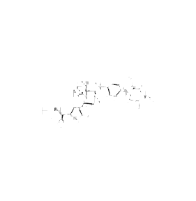 CC1CN(c2ccc(Nc3ncc(-c4csc(C(N)=O)c4)n4ncnc34)cc2)[C@@H](C)CN1C